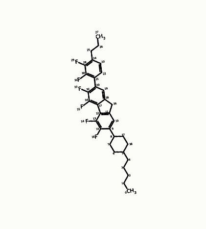 CCCCCC1CCC(c2cc3c(c(F)c2F)-c2c(cc(-c4ccc(CCC)c(F)c4F)c(F)c2F)C3)CC1